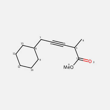 COC(=O)C(C)C#CCC1CC[CH]CC1